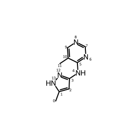 Cc1cc(Nc2ncncc2C)n[nH]1